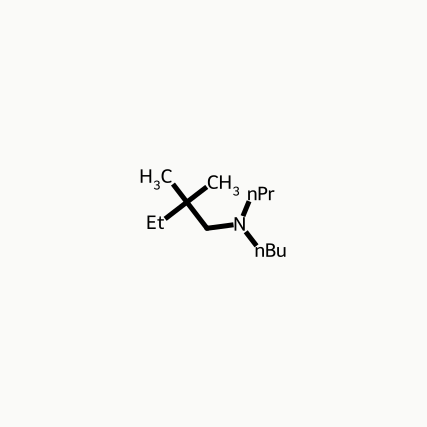 CCCCN(CCC)CC(C)(C)CC